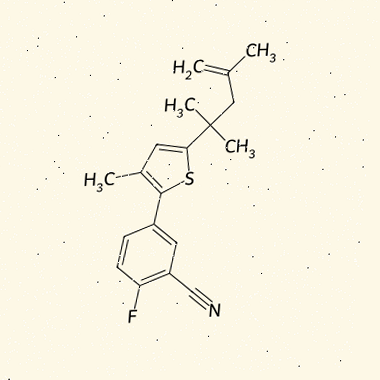 C=C(C)CC(C)(C)c1cc(C)c(-c2ccc(F)c(C#N)c2)s1